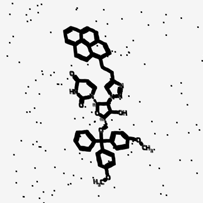 COc1ccc(C(OC[C@@H]2O[C@H](n3ccc(=O)[nH]c3=O)C(n3cc(CCc4ccc5ccc6cccc7ccc4c5c67)nn3)C2O)(c2ccccc2)c2ccc(OC)cc2)cc1